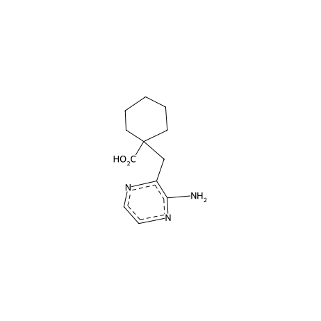 Nc1nccnc1CC1(C(=O)O)CCCCC1